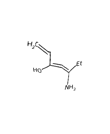 C=C/C(O)=C(/N)CC